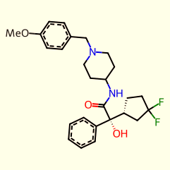 COc1ccc(CN2CCC(NC(=O)[C@](O)(c3ccccc3)[C@@H]3CCC(F)(F)C3)CC2)cc1